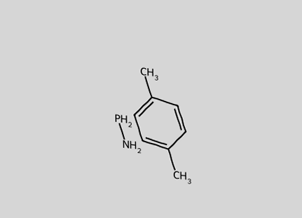 Cc1ccc(C)cc1.NP